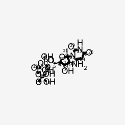 N[C@@H]1[C@H](O)[C@@H](COP(=O)(O)OP(=O)(O)OP(=O)(O)O)O[C@@]1(I)n1ccc(=O)[nH]c1=O